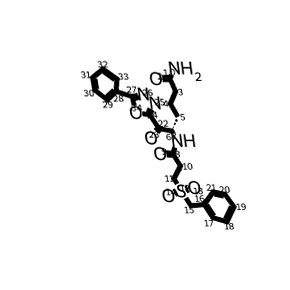 NC(=O)CCC[C@H](NC(=O)[CH]CS(=O)(=O)Cc1ccccc1)C(=O)c1nnc(-c2ccccc2)o1